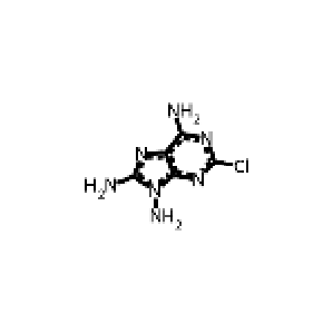 Nc1nc(Cl)nc2c1nc(N)n2N